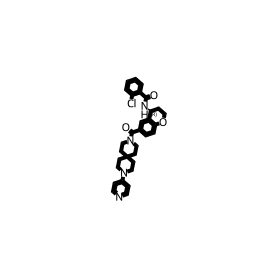 O=C(N[C@@H]1CCOc2ccc(C(=O)N3CCC4(CC3)CCN(c3ccncc3)CC4)cc21)c1ccccc1Cl